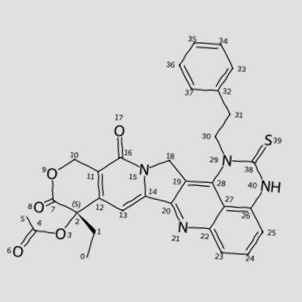 CC[C@@]1(OC(C)=O)C(=O)OCc2c1cc1n(c2=O)Cc2c-1nc1cccc3c1c2N(CCc1ccccc1)C(=S)N3